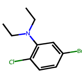 CCN(CC)c1cc(Br)ccc1Cl